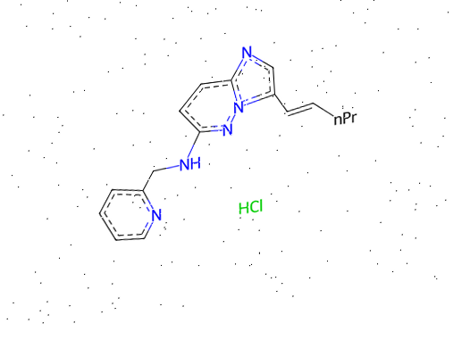 CCC/C=C/c1cnc2ccc(NCc3ccccn3)nn12.Cl